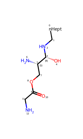 CCCCCCCCN[C@H](O)[C@@H](N)COC(=O)CN